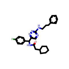 O=C(CC1CCCCC1)NC(c1ccc(F)cc1)c1cnc(NCCCc2ccccc2)nn1